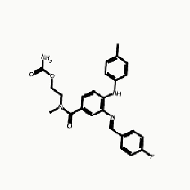 Cc1ccc(Nc2ccc(C(=O)N(C)CCOC(N)=O)cc2N=Cc2ccc(F)cc2)cc1